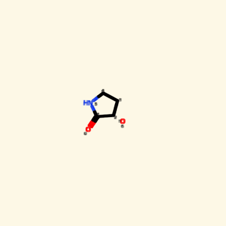 O=C1CCCN1.[O]